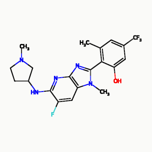 Cc1cc(C(F)(F)F)cc(O)c1-c1nc2nc(NC3CCN(C)C3)c(F)cc2n1C